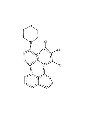 Clc1c(Cl)c2c(N3CCOCC3)ccc3c4cccc5cccc(c(c1Cl)c23)c54